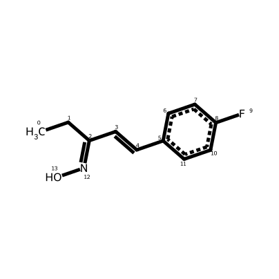 CCC(C=Cc1ccc(F)cc1)=NO